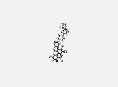 Cc1cnc(-c2ccc(-c3ccnc(C(C)(C)O)n3)cc2)cc1-n1c(C)cc(OC(C)c2ncc(F)cc2F)c(Cl)c1=O